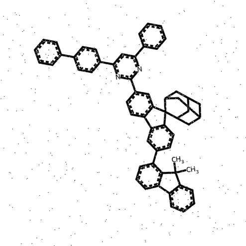 CC1(C)c2ccccc2-c2cccc(-c3ccc4c(c3)-c3ccc(-c5nc(-c6ccccc6)cc(-c6ccc(-c7ccccc7)cc6)n5)cc3C43C4CC5CC(C4)CC3C5)c21